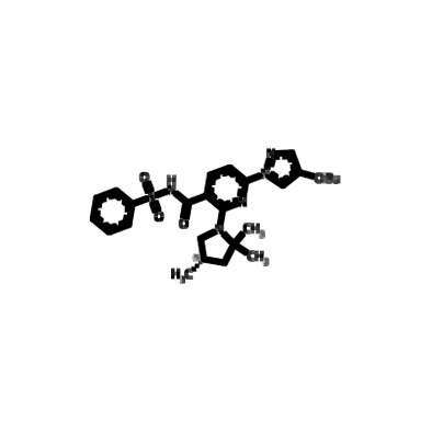 CC(C)COc1cnn(-c2ccc(C(=O)NS(=O)(=O)c3ccccc3)c(N3C[C@@H](C)CC3(C)C)n2)c1